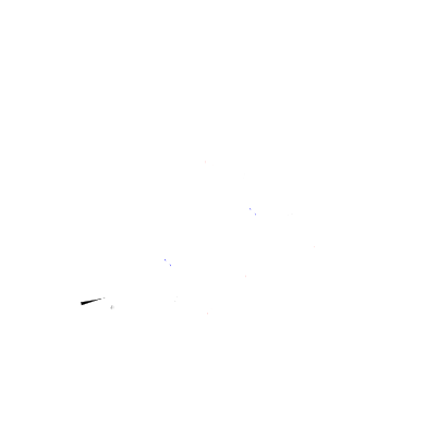 C[C@@H]1CC(=O)N(CC(=O)N2C(=O)c3ccccc3C2=O)C1